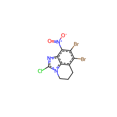 O=[N+]([O-])c1c(Br)c(Br)c2c3c1nc(Cl)n3CCC2